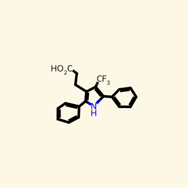 O=C(O)CCc1c(-c2ccccc2)[nH]c(-c2ccccc2)c1C(F)(F)F